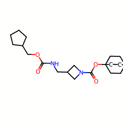 O=C(NCC1CN(C(=O)OC23CCC(CC2)CC3)C1)OCC1CCCC1